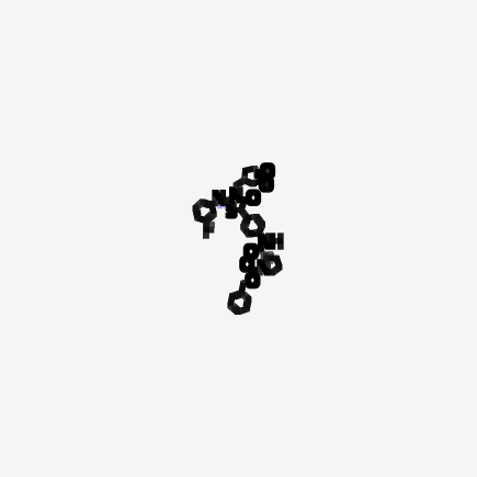 O=C(Nc1ccc(C2S/C(=N\c3cccc(F)c3)N(CC3CCS(=O)(=O)C3)C2=O)cc1)[C@@H]1CCCN1C(=O)OCc1ccccc1